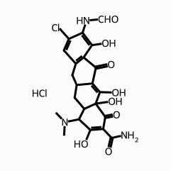 CN(C)C1C(O)=C(C(N)=O)C(=O)C2(O)C(O)=C3C(=O)c4c(cc(Cl)c(NC=O)c4O)CC3CC12.Cl